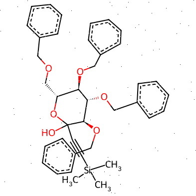 C[Si](C)(C)C#CC1(O)O[C@H](COCc2ccccc2)[C@@H](OCc2ccccc2)[C@H](OCc2ccccc2)[C@H]1OCc1ccccc1